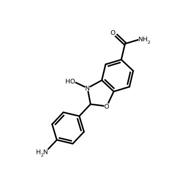 NC(=O)c1ccc2c(c1)N(O)C(c1ccc(N)cc1)O2